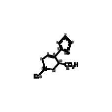 CCN1CC=C(c2cccs2)C(C(=O)O)C1